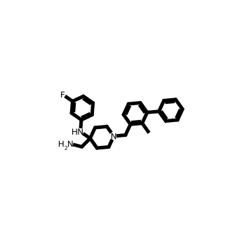 Cc1c(CN2CCC(CN)(Nc3cccc(F)c3)CC2)cccc1-c1ccccc1